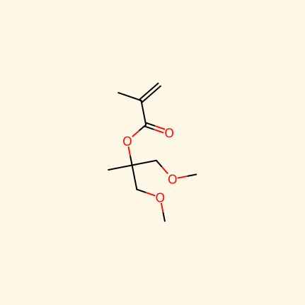 C=C(C)C(=O)OC(C)(COC)COC